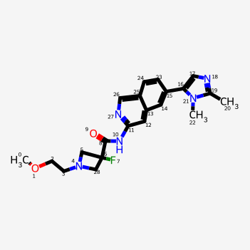 COCCN1CC(F)(C(=O)Nc2cc3cc(-c4cnc(C)n4C)ccc3cn2)C1